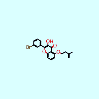 C=C(C)CCOc1cccc2oc(-c3cccc(Br)c3)c(O)c(=O)c12